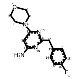 Nc1cc(N2CCOCC2)nc(Cc2ccc(F)cc2)n1